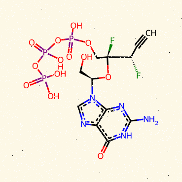 C#C[C@H](F)[C@@](F)(COP(=O)(O)OP(=O)(O)OP(=O)(O)O)O[C@H](CO)n1cnc2c(=O)[nH]c(N)nc21